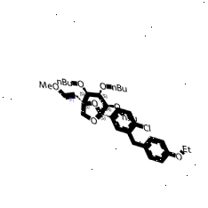 CCCCO[C@@H]1[C@@H](OCCCC)[C@@]2(c3ccc(Cl)c(Cc4ccc(OCC)cc4)c3)OC[C@](/C=C/OC)(O2)[C@H]1OCCCC